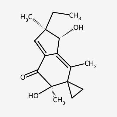 CC[C@]1(C)C=C2C(=O)[C@](C)(O)C3(CC3)C(C)=C2[C@H]1O